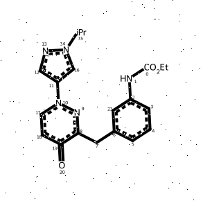 CCOC(=O)Nc1cccc(Cc2nn(-c3cnn(C(C)C)c3)ccc2=O)c1